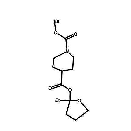 CCC1(OC(=O)C2CCN(C(=O)OC(C)(C)C)CC2)CCCO1